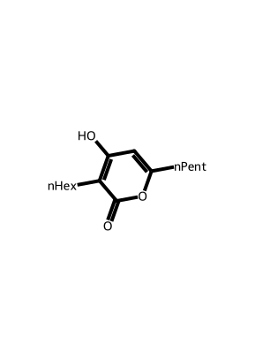 CCCCCCc1c(O)cc(CCCCC)oc1=O